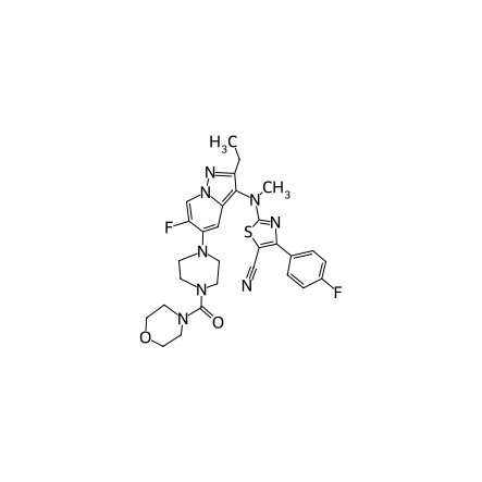 CCc1nn2cc(F)c(N3CCN(C(=O)N4CCOCC4)CC3)cc2c1N(C)c1nc(-c2ccc(F)cc2)c(C#N)s1